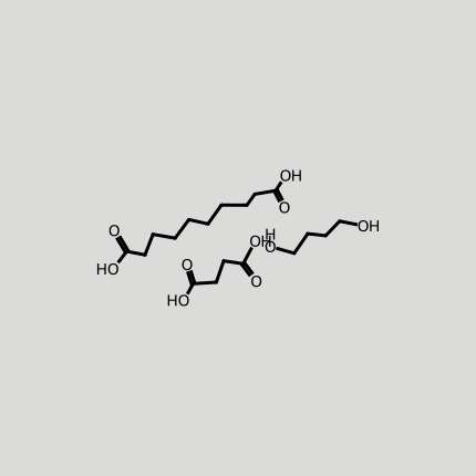 O=C(O)CCC(=O)O.O=C(O)CCCCCCCCC(=O)O.OCCCCO